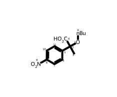 CCCCOC(C)(C(=O)O)c1ccc([N+](=O)[O-])cc1